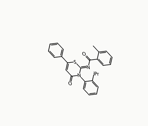 Cc1ccccc1C(=O)/N=c1\sc(-c2ccccc2)cc(=O)n1-c1ccccc1C(C)C